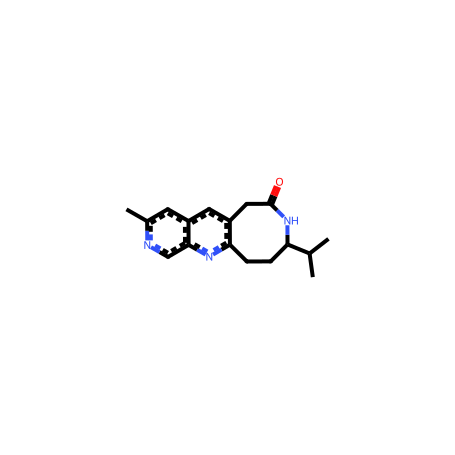 Cc1cc2cc3c(nc2cn1)CCC(C(C)C)NC(=O)C3